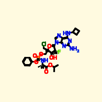 CC(C)OC(=O)[C@H](C)N[P@](=O)(OC[C@@]1(CCl)O[C@@H](n2cnc3c(NC4CCC4)nc(N)nc32)[C@H](F)[C@@H]1O)Oc1ccccc1